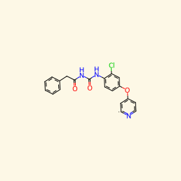 O=C(Cc1ccccc1)NC(=O)Nc1ccc(Oc2c[c]ncc2)cc1Cl